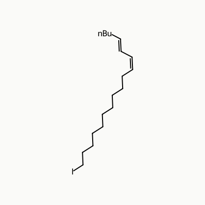 CCCC/C=C/C=C\CCCCCCCCCCI